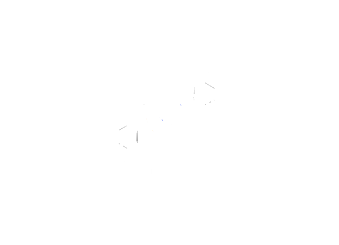 CC1CN(c2ccc(Cl)c(Cl)c2)CCN1S(=O)(=O)c1ccc2c(c1)C(C(=O)O)CC2